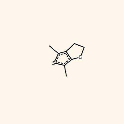 Cc1sc(C)c2c1CCO2